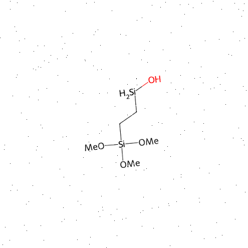 CO[Si](CC[SiH2]O)(OC)OC